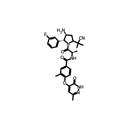 Cc1cc(Oc2ccc(C(=O)N[C@H](C)C(=O)N3C(C(C)(C)C#N)C[C@H](N)[C@H]3c3cccc(F)c3)cc2C)c(=O)[nH]n1